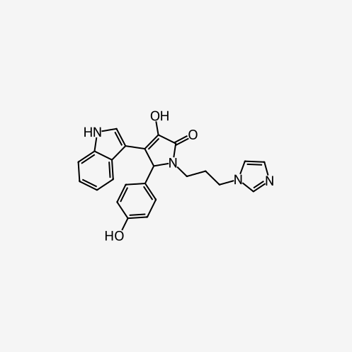 O=C1C(O)=C(c2c[nH]c3ccccc23)C(c2ccc(O)cc2)N1CCCn1ccnc1